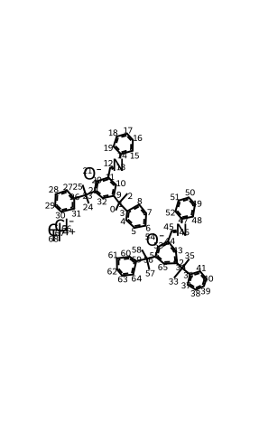 CC(C)(c1ccccc1)c1cc(C=Nc2ccccc2)c([O-])c(C(C)(C)c2ccccc2)c1.CC(C)(c1ccccc1)c1cc(C=Nc2ccccc2)c([O-])c(C(C)(C)c2ccccc2)c1.[Cl-].[Cl-].[Ti+4]